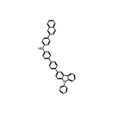 c1ccc(-n2c3ccccc3c3cc(-c4ccc(-c5ccc(Nc6ccc(-c7ccc8ccccc8c7)cc6)cc5)cc4)ccc32)cc1